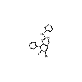 O=c1c(Br)cc2cnc(Nc3ccccn3)nc2n1-c1ccccc1